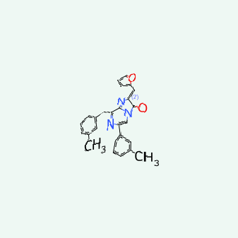 Cc1cccc(CC2=NC(c3cccc(C)c3)=CN3C(=O)/C(=C/c4ccco4)N=C23)c1